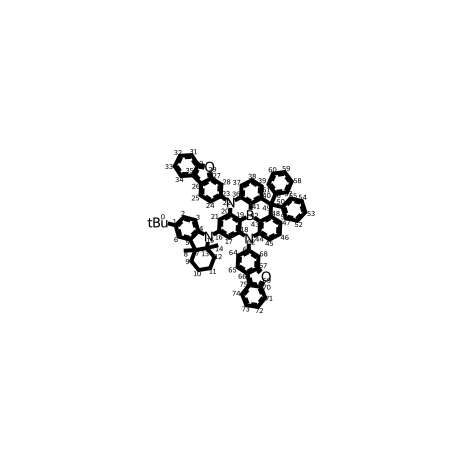 CC(C)(C)c1ccc2c(c1)C1(C)CCCCC1(C)N2c1cc2c3c(c1)N(c1ccc4c(c1)oc1ccccc14)c1cccc4c1B3c1c(cccc1C4(c1ccccc1)c1ccccc1)N2c1ccc2c(c1)oc1ccccc12